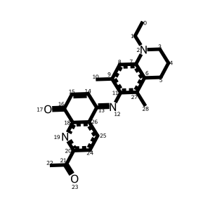 CCN1CCCc2c1cc(C)c(N=C1C=CC(=O)c3nc(C(C)=O)ccc31)c2C